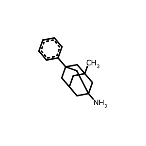 CC12CC3CC(N)(C1)CC(c1ccccc1)(C3)C2